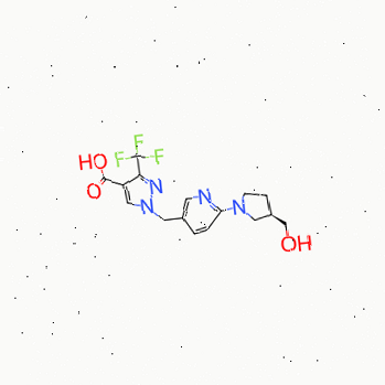 O=C(O)c1cn(Cc2ccc(N3CC[C@@H](CO)C3)nc2)nc1C(F)(F)F